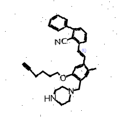 C#CCCCCOc1cc(/C=C/c2cccc(-c3ccccc3)c2C#N)c(C)cc1CN1CCNCC1